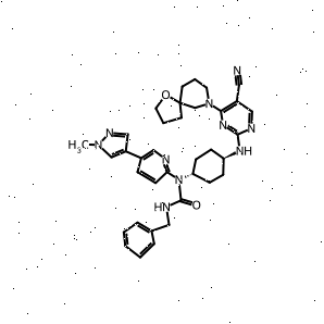 Cn1cc(-c2ccc(N(C(=O)NCc3ccccc3)[C@H]3CC[C@H](Nc4ncc(C#N)c(N5CCCC6(CCCO6)C5)n4)CC3)nc2)cn1